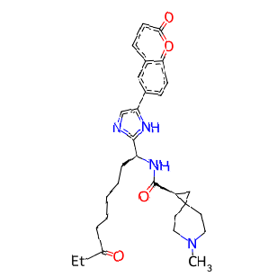 CCC(=O)CCCCC[C@H](NC(=O)[C@H]1CC12CCN(C)CC2)c1ncc(-c2ccc3oc(=O)ccc3c2)[nH]1